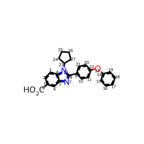 O=C(O)c1ccc2c(c1)nc(-c1ccc(Oc3ccccc3)cc1)n2C1CCCC1